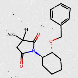 [2H]C1(OC(C)=O)CC(=O)N([C@@H]2CCCC[C@H]2OCc2ccccc2)C1=O